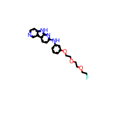 FCCOCCOCCOc1cccc(Nc2ccc3c(n2)[nH]c2ccncc23)c1